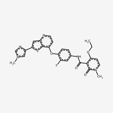 CCOc1ccn(C)c(=O)c1C(=O)Nc1ccc(Oc2ccnc3cc(-c4cn(C)cn4)sc23)c(F)c1